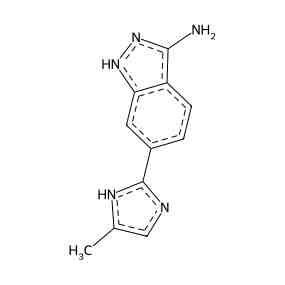 Cc1cnc(-c2ccc3c(N)n[nH]c3c2)[nH]1